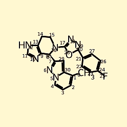 Cc1cccn2nc([C@H]3c4nc[nH]c4CCN3c3nnc(-c4ccc(F)cc4)o3)cc12